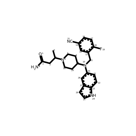 CC(CC(N)=O)N1CCC(N(Cc2cc(C#N)ccc2F)c2ccc3[nH]ccc3c2)CC1